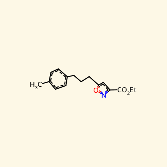 CCOC(=O)c1cc(CCCc2ccc(C)cc2)on1